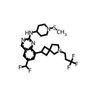 CSN1CCC(Nc2ncc3cc(C(F)F)cc(C4CC5(CCN(CCC(F)(F)F)C5)C4)c3n2)CC1